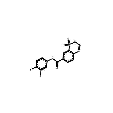 O=C(Nc1ccc(F)c(F)c1)c1ccc2c(c1)S(=O)(=O)NC=N2